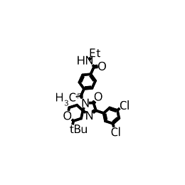 CCNC(=O)c1ccc([C@@H](C)N2C(=O)C(c3cc(Cl)cc(Cl)c3)=NC23CCOC(C(C)(C)C)C3)cc1